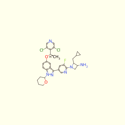 C[C@@H](Oc1ccc2c(c1)c(-c1cnc(N3CC(N)C3CC3CC3)c(F)c1)nn2C1CCCCO1)c1c(Cl)cncc1Cl